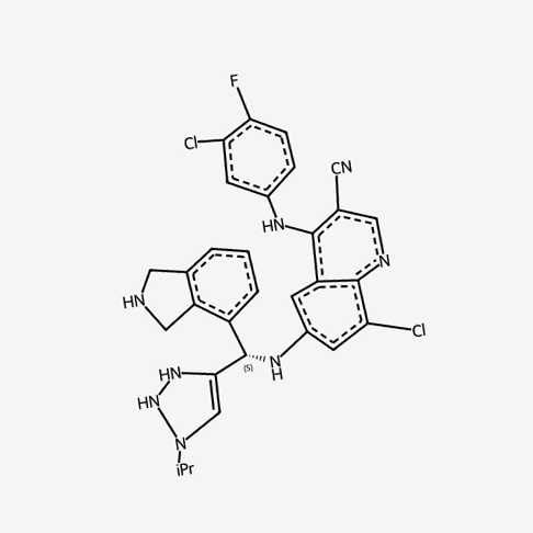 CC(C)N1C=C([C@@H](Nc2cc(Cl)c3ncc(C#N)c(Nc4ccc(F)c(Cl)c4)c3c2)c2cccc3c2CNC3)NN1